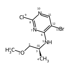 COC[C@H](C)Nc1nc(Cl)ncc1Br